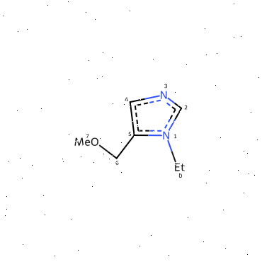 CCn1cncc1COC